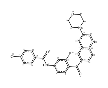 O=C(Nc1ccc(C(=O)c2ccc3ncc(N4CCOCC4)nc3c2)c(F)c1)c1ccc(Cl)cc1